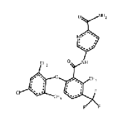 Cc1cc(Cl)cc(C)c1Oc1ccc(C(F)(F)F)c(C)c1C(=O)Nc1ccc(C(N)=O)nc1